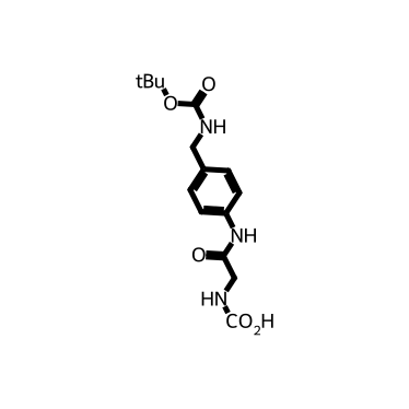 CC(C)(C)OC(=O)NCc1ccc(NC(=O)CNC(=O)O)cc1